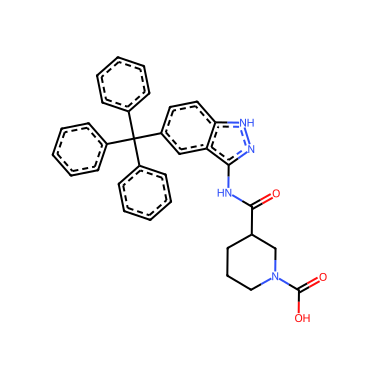 O=C(Nc1n[nH]c2ccc(C(c3ccccc3)(c3ccccc3)c3ccccc3)cc12)C1CCCN(C(=O)O)C1